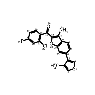 Cc1cscc1-c1ccc2c(N)c(C(=O)c3ccc(F)cc3Cl)oc2c1